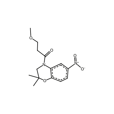 COCCC(=O)N1CC(C)(C)Oc2ccc([N+](=O)[O-])cc21